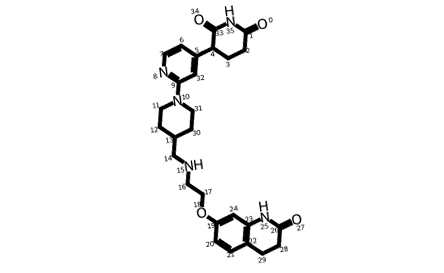 O=C1CCC(c2ccnc(N3CCC(CNCCOc4ccc5c(c4)NC(=O)CC5)CC3)c2)C(=O)N1